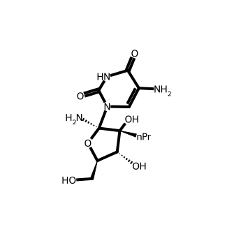 CCC[C@@]1(O)[C@H](O)[C@@H](CO)O[C@@]1(N)n1cc(N)c(=O)[nH]c1=O